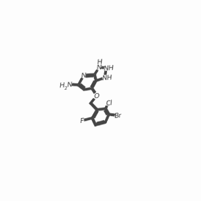 Nc1cc(OCc2c(F)ccc(Br)c2Cl)c2c(n1)NNN2